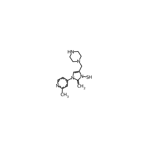 C=C1N(S)C(CN2CCNCC2)=CN1c1ccnc(C)c1